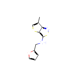 Cc1csc2c(NCc3ccco3)snc12